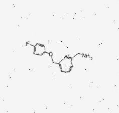 NCc1cccc(COc2ccc(F)cc2)n1